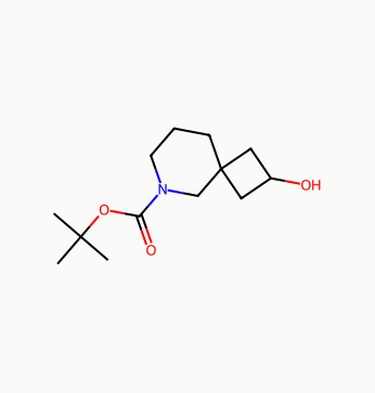 CC(C)(C)OC(=O)N1CCCC2(CC(O)C2)C1